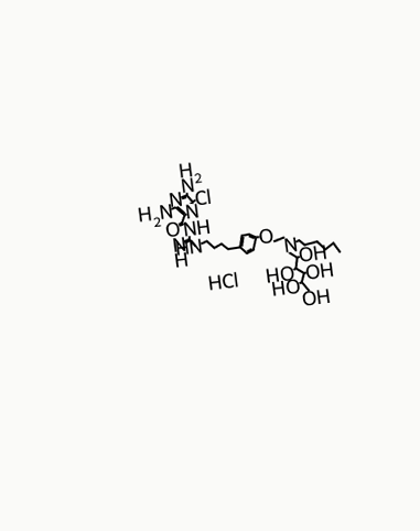 CCCCCCN(CCOc1ccc(CCCCNC(=N)NC(=O)c2nc(Cl)c(N)nc2N)cc1)CC(O)C(O)C(O)C(O)CO.Cl